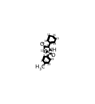 Cc1ccc(S(=O)(=O)NC(C(=O)I)c2ccccc2)cc1